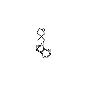 CC1(Cn2ncc3nccnc32)CCOC1